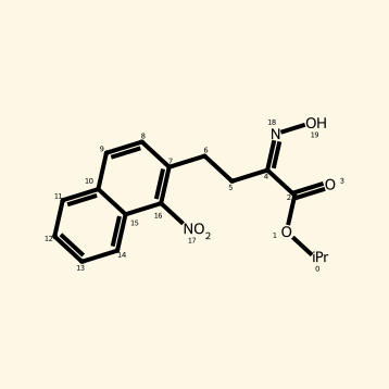 CC(C)OC(=O)C(CCc1ccc2ccccc2c1[N+](=O)[O-])=NO